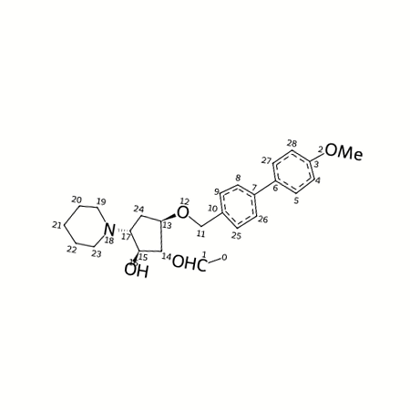 CC=O.COc1ccc(-c2ccc(CO[C@H]3C[C@@H](O)[C@H](N4CCCCC4)C3)cc2)cc1